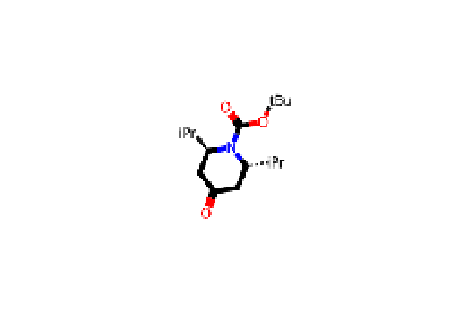 CC(C)[C@@H]1CC(=O)C[C@@H](C(C)C)N1C(=O)OC(C)(C)C